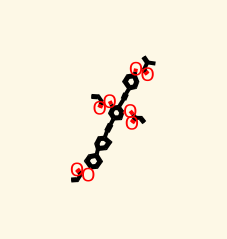 C=CC(=O)Oc1ccc(-c2ccc(C#Cc3cc(OC(=O)C=C)c(C#Cc4ccc(OC(=O)C(=C)C)cc4)c(OC(=O)C=C)c3)cc2)cc1